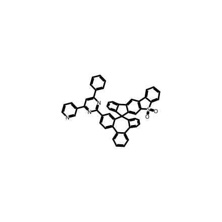 O=S1(=O)c2ccccc2-c2cc3c(cc21)C1(c2ccccc2-c2ccccc2-c2ccc(-c4nc(-c5ccccc5)cc(-c5cccnc5)n4)cc21)c1ccccc1-3